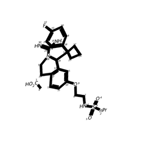 CC(=O)O.CCCS(=O)(=O)NCCOc1ccc2c(c1)C(C1(c3ccc(F)cc3)CCC1)N(C(=N)N)CC2